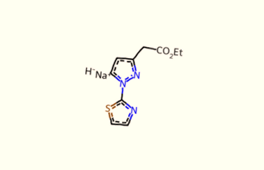 CCOC(=O)Cc1ccn(-c2nccs2)n1.[H-].[Na+]